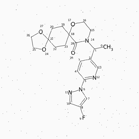 CC(c1ccc(-n2cc(F)cn2)nc1)N1CCOC2(CCC3(CC2)OCCO3)C1=O